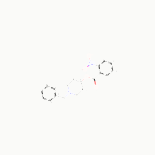 O=C(OC1CCN(Cc2ccccc2)CC1)c1ccccc1[N+](=O)[O-]